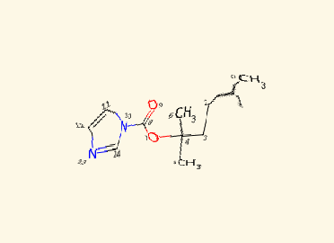 CCCCC(C)(C)OC(=O)n1ccnc1